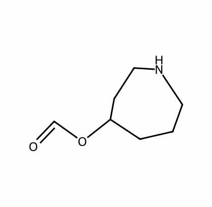 O=COC1CCCNCC1